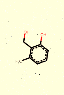 OCc1c(O)cccc1C(F)(F)F